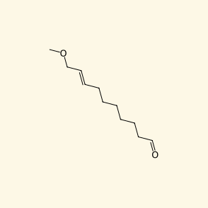 COC/C=C/CCCCCCC=O